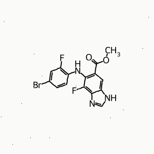 COC(=O)c1cc2[nH]cnc2c(F)c1Nc1ccc(Br)cc1F